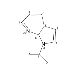 CC(C)N1C=CC2C=CC=NC21